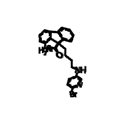 CCCc1cccc2c1C(CCCCNc1ccc(Br)nc1)(C(N)=O)c1ccccc1-2